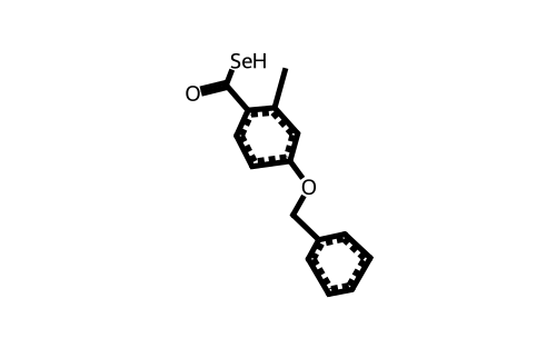 Cc1cc(OCc2ccccc2)ccc1C(=O)[SeH]